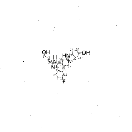 OCCSc1nc(-c2ccc(F)cc2)c(-c2ccnc(NC3CCC(O)CC3)c2)[nH]1